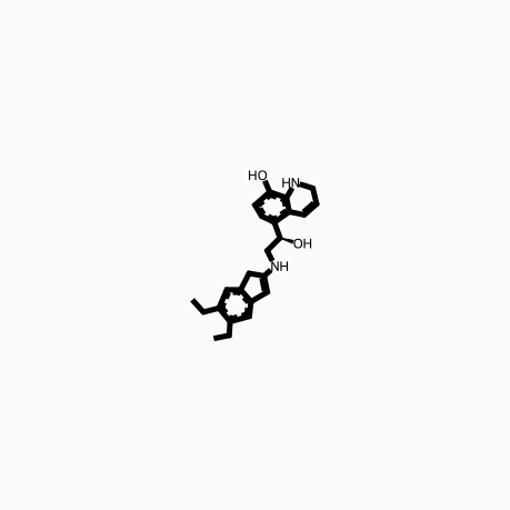 CCc1cc2c(cc1CC)CC(NC[C@H](O)c1ccc(O)c3c1C=CCN3)=C2